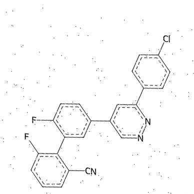 N#Cc1cccc(F)c1-c1cc(-c2cnnc(-c3ccc(Cl)cc3)c2)ccc1F